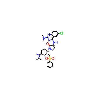 CC(C)N(C)[C@@H]1CC[C@H](N2CC[C@H](Nc3nc(N(C)C)nc4ccc(Cl)cc34)C2=O)[C@@H](CS(=O)(=O)c2ccccc2)C1